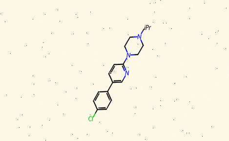 CC(C)N1CCN(c2ccc(-c3ccc(Cl)cc3)cn2)CC1